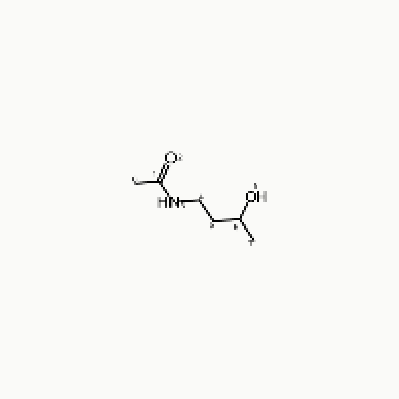 CC(=O)NCCC(C)O